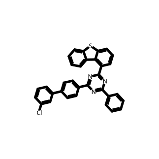 Clc1cccc(-c2ccc(-c3nc(-c4ccccc4)nc(-c4cccc5sc6ccccc6c45)n3)cc2)c1